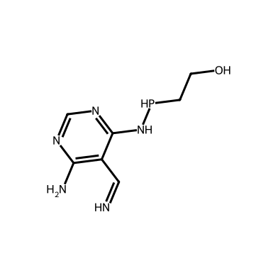 N=Cc1c(N)ncnc1NPCCO